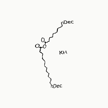 CCCCCCCCCCCCCCCCCCCCCC(=O)OC(=O)CCCCCCCCCCCCCCCCC.[KH]